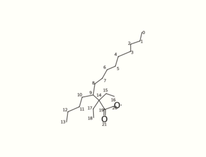 CCCCCCCCCC(CCCC)C(CC)(CC)C([O])=O